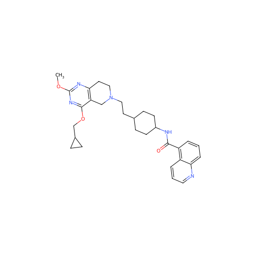 COc1nc2c(c(OCC3CC3)n1)CN(CCC1CCC(NC(=O)c3cccc4ncccc34)CC1)CC2